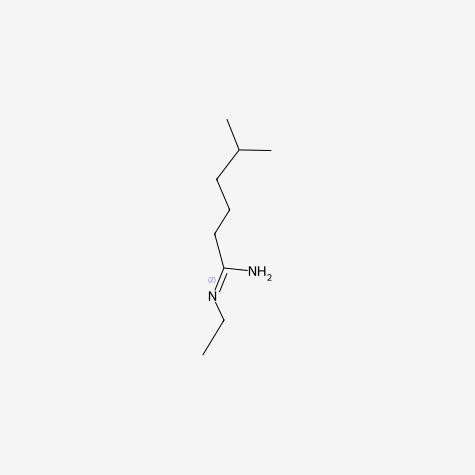 CC/N=C(\N)CCCC(C)C